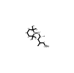 CCC(C)CC(C)C[C@@H](C)ON1C(C)(C)CCCC1(C)C